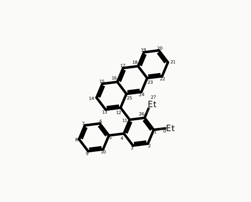 CCc1ccc(-c2ccccc2)c(-c2cccc3cc4ccccc4cc23)c1CC